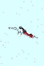 CCOC(=O)CCCCCCN(CCCC(O)COc1cccc(S(C)(=O)=O)c1)S(C)(=O)=O